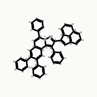 C1=C(c2nn3c(-c4ccccc4)cc4cc(-c5ccccc5)c(-c5ccccc5)cc4c3c2-c2ccccc2)c2cccc3cccc1c23